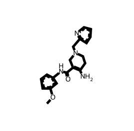 COc1cccc(NC(=O)C2=C(N)CCN(Cc3ccccn3)C2)c1